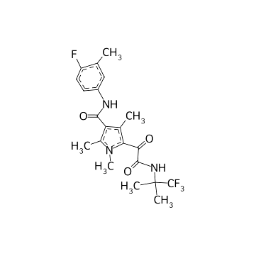 Cc1cc(NC(=O)c2c(C)c(C(=O)C(=O)NC(C)(C)C(F)(F)F)n(C)c2C)ccc1F